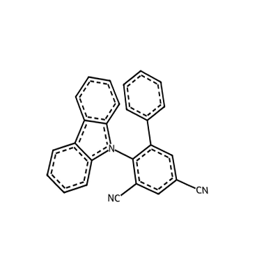 N#Cc1cc(C#N)c(-n2c3ccccc3c3ccccc32)c(-c2ccccc2)c1